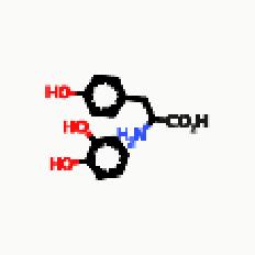 NC(Cc1ccc(O)cc1)C(=O)O.Oc1ccccc1O